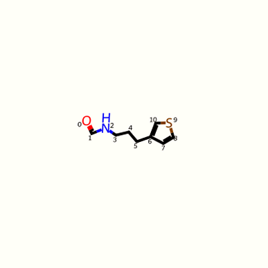 O=CNCCCc1ccsc1